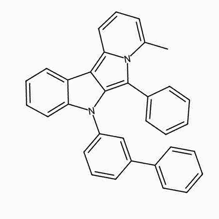 Cc1cccc2c3c4ccccc4n(-c4cccc(-c5ccccc5)c4)c3c(-c3ccccc3)n12